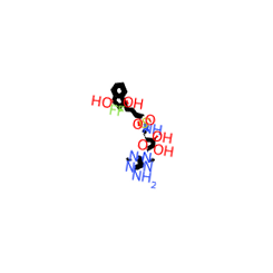 Nc1ncnc2c1ncn2[C@@H]1O[C@H](CNS(=O)(=O)/C=C/CCC2(O)c3ccccc3C(O)C2(F)F)[C@@H](O)[C@H]1O